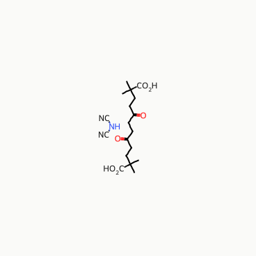 CC(C)(CCC(=O)CCC(=O)CCC(C)(C)C(=O)O)C(=O)O.N#CNC#N